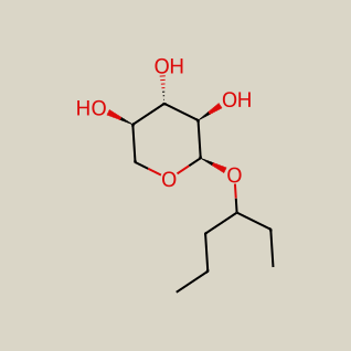 CCCC(CC)O[C@H]1OC[C@@H](O)[C@H](O)[C@H]1O